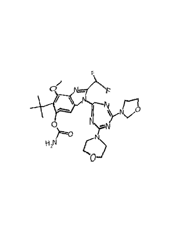 COc1c(C(C)(C)C)c(OC(N)=O)cc2c1nc(C(F)F)n2-c1nc(N2CCOCC2)nc(N2CCOC2)n1